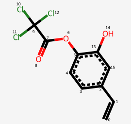 C=Cc1ccc(OC(=O)C(Cl)(Cl)Cl)c(O)c1